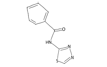 O=C(Nc1nncs1)c1c[c]ccc1